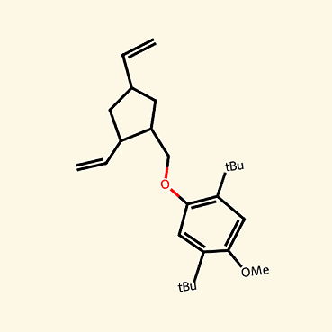 C=CC1CC(C=C)C(COc2cc(C(C)(C)C)c(OC)cc2C(C)(C)C)C1